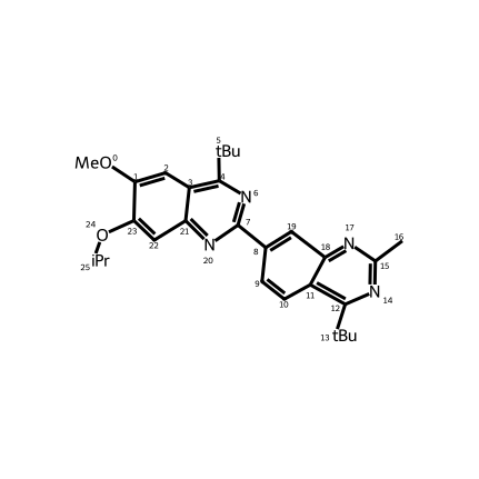 COc1cc2c(C(C)(C)C)nc(-c3ccc4c(C(C)(C)C)nc(C)nc4c3)nc2cc1OC(C)C